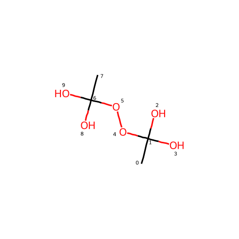 CC(O)(O)OOC(C)(O)O